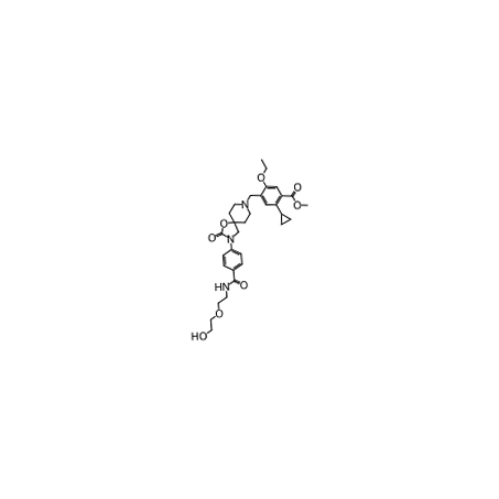 CCOc1cc(C(=O)OC)c(C2CC2)cc1CN1CCC2(CC1)CN(c1ccc(C(=O)NCCOCCO)cc1)C(=O)O2